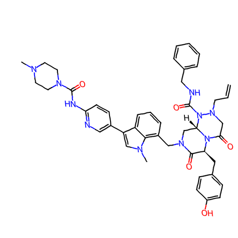 C=CCN1CC(=O)N2[C@@H](Cc3ccc(O)cc3)C(=O)N(Cc3cccc4c(-c5ccc(NC(=O)N6CCN(C)CC6)nc5)cn(C)c34)C[C@@H]2N1C(=O)NCc1ccccc1